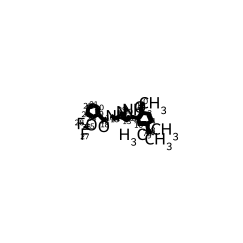 COc1ccc(C(C)(C)C)cc1-c1cc(CNC(=O)c2ccccc2OC(F)F)n[nH]1